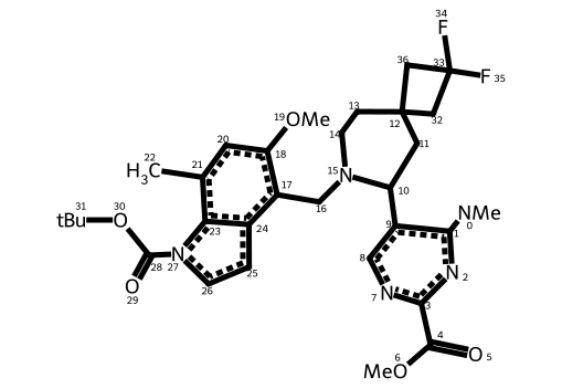 CNc1nc(C(=O)OC)ncc1C1CC2(CCN1Cc1c(OC)cc(C)c3c1ccn3C(=O)OC(C)(C)C)CC(F)(F)C2